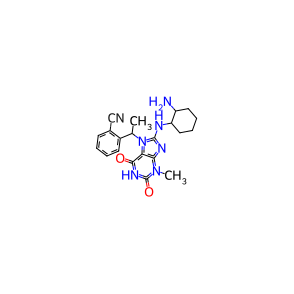 CC(c1ccccc1C#N)n1c(NC2CCCCC2N)nc2c1c(=O)[nH]c(=O)n2C